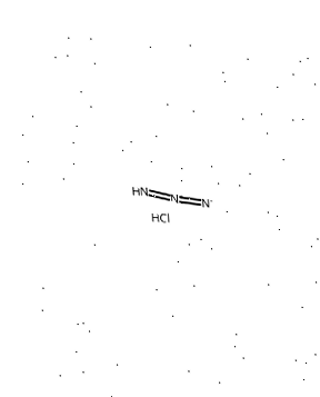 Cl.[N-]=[N+]=N